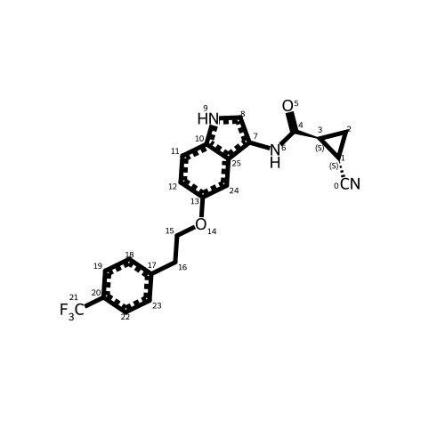 N#C[C@H]1C[C@@H]1C(=O)Nc1c[nH]c2ccc(OCCc3ccc(C(F)(F)F)cc3)cc12